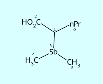 CCC[CH](C(=O)O)[Sb]([CH3])[CH3]